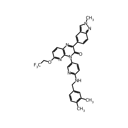 Cc1ccc(CNc2ccc(-n3c(=O)c(-c4ccc5nn(C)cc5c4)nc4ccc(OCC(F)(F)F)nc43)cn2)cc1C